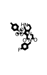 Cc1ccc(S(=O)(=O)Oc2c3c(n4c2C(=O)N(Cc2ccc(F)cc2)C(=O)C4)CCNC3)cc1